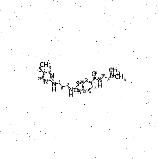 CSc1cnc(NCCCNc2nc3ccc(C(=O)NCCN(C)C)cc3s2)nc1